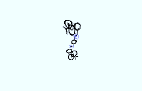 C=C(C)C(=O)Oc1cccc(/C=C/c2ccc(/C=C/c3ccccc3OC(=O)C(=C)C)cc2)c1